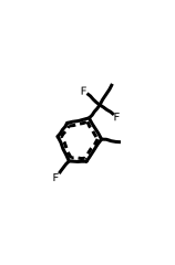 Cc1cc(F)ccc1C(C)(F)F